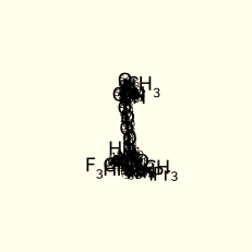 CC(C)N(C)[C@@H]1CC[C@H](N2CC[C@H](Nc3ncnc4ccc(C(F)(F)F)cc34)C2=O)[C@H](NC(=O)c2ccc(NCCOCCOCCOCCOCCNC(=O)[C@H]3CC(=O)N(C)[C@@H]3c3cccnc3)nn2)C1